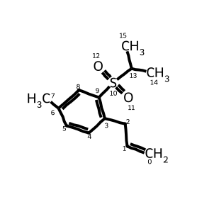 C=CCc1ccc(C)cc1S(=O)(=O)C(C)C